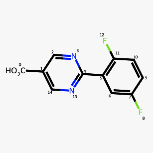 O=C(O)c1cnc(-c2cc(F)ccc2F)nc1